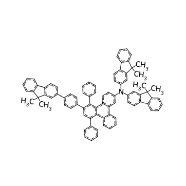 CC1(C)c2ccccc2-c2ccc(-c3ccc(-c4cc(-c5ccccc5)c5c6ccccc6c6cc(N(c7ccc8c(c7)C(C)(C)c7ccccc7-8)c7ccc8c(c7)C(C)(C)c7ccccc7-8)ccc6c5c4-c4ccccc4)cc3)cc21